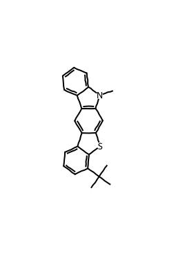 Cn1c2ccccc2c2cc3c(cc21)sc1c(C(C)(C)C)cccc13